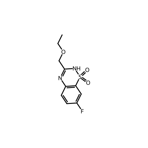 CCOCC1=Nc2ccc(F)cc2S(=O)(=O)N1